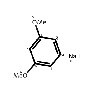 COc1[c]ccc(OC)c1.[NaH]